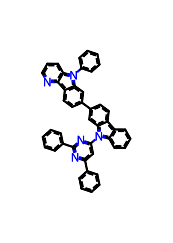 c1ccc(-c2cc(-n3c4ccccc4c4ccc(-c5ccc6c7ncccc7n(-c7ccccc7)c6c5)cc43)nc(-c3ccccc3)n2)cc1